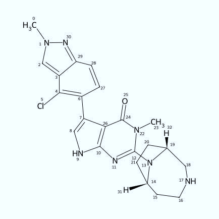 Cn1cc2c(Cl)c(-c3c[nH]c4nc(N5[C@@H]6CCNC[C@H]5CC6)n(C)c(=O)c34)ccc2n1